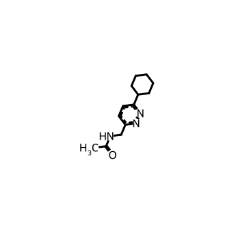 CC(=O)NCc1ccc(C2CCCCC2)nn1